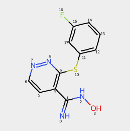 N=C(NO)c1ccnnc1Sc1cccc(F)c1